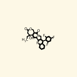 CC[C@@]1(O)CC(=O)OCc2c1cc1n(c2=O)Cc2c-1nc1ccccc1c2-c1c(F)cc(F)cc1F